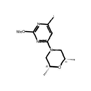 COc1nc(I)cc(N2C[C@@H](C)O[C@@H](C)C2)n1